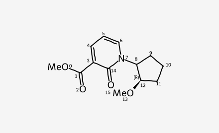 COC(=O)c1cccn(C2CCC[C@H]2OC)c1=O